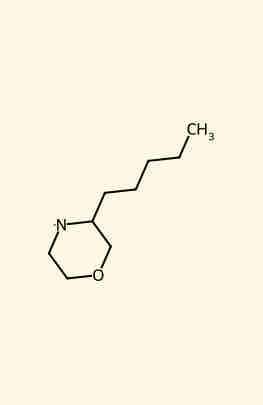 CCCCCC1COCC[N]1